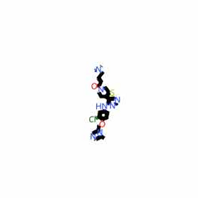 Cc1cncc(COc2ccc(Nc3ncnc4sc5c(c34)CCN(C(=O)/C=C/CN(C)C)C5)cc2Cl)n1